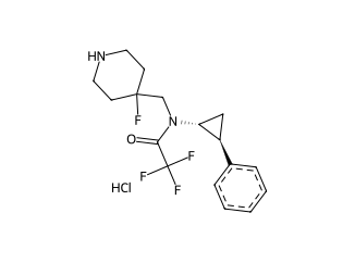 Cl.O=C(N(CC1(F)CCNCC1)[C@@H]1C[C@H]1c1ccccc1)C(F)(F)F